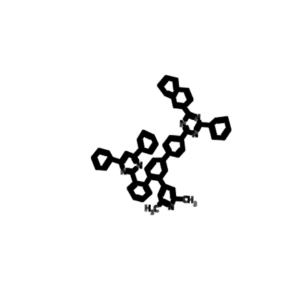 Cc1cc(-c2cc(-c3ccc(-c4nc(-c5ccccc5)nc(-c5ccc6ccccc6c5)n4)cc3)ccc2-c2ccccc2-c2nc(-c3ccccc3)cc(-c3ccccc3)n2)cc(C)n1